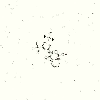 O=C(O)[C@H]1CC=CC[C@H]1C(=O)Nc1cc(C(F)(F)F)cc(C(F)(F)F)c1